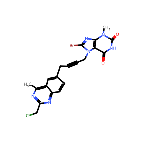 Cc1nc(CCl)nc2ccc(CC#CCn3c(Br)nc4c3c(=O)[nH]c(=O)n4C)cc12